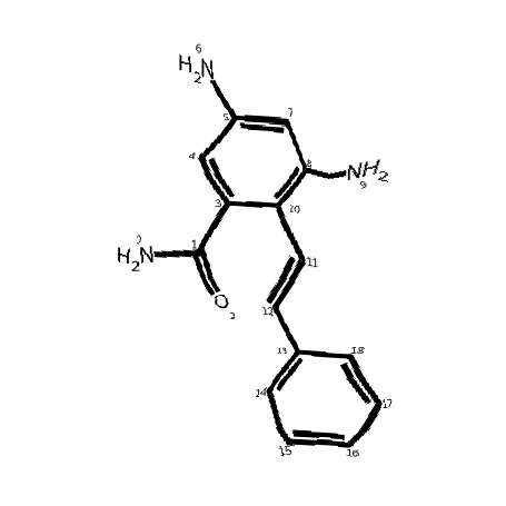 NC(=O)c1cc(N)cc(N)c1C=Cc1ccccc1